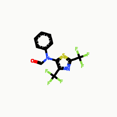 O=CN(c1ccccc1)c1sc(C(F)(F)F)nc1C(F)(F)F